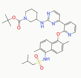 Cc1ccc2c(Oc3ncccc3-c3ccnc(NC4CCCN(C(=O)OC(C)(C)C)C4)n3)c(C)ccc2c1NS(=O)(=O)CC(C)C